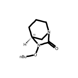 CCCCON1C(=O)N2CCC[C@H]1C2